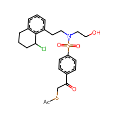 CC(=O)SCC(=O)c1ccc(S(=O)(=O)N(CCO)CCc2cccc3c2C(Cl)CCC3)cc1